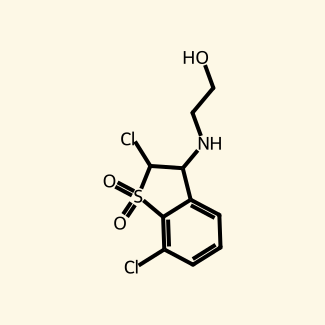 O=S1(=O)c2c(Cl)cccc2C(NCCO)C1Cl